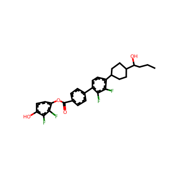 CCCC(O)C1CCC(c2ccc(-c3ccc(C(=O)Oc4ccc(O)c(F)c4F)cc3)c(F)c2F)CC1